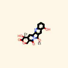 CCOC1c2cc3c(O)cccc3nc2-c2cc3c(c(=O)n21)COC(=O)[C@]3(O)CC